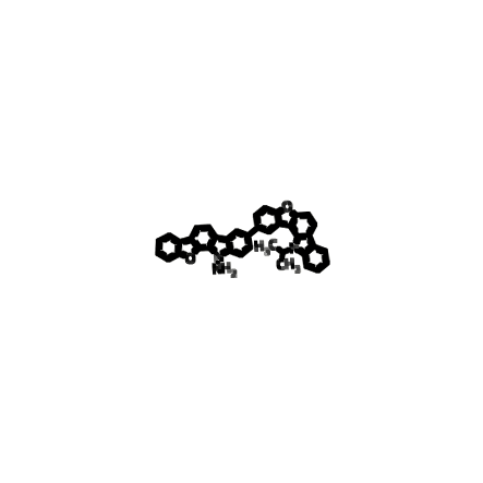 CC(C)n1c2ccccc2c2ccc3oc4ccc(-c5ccc6c(c5)c5ccc7c8ccccc8oc7c5n6N)cc4c3c21